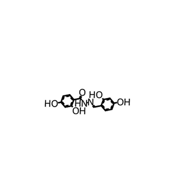 O=C(NN=Cc1ccc(O)cc1O)c1ccc(O)cc1O